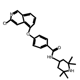 CC1(C)CC(NC(=O)c2ccc(Oc3cccc4cnc(Cl)cc34)cc2)CC(C)(C)N1